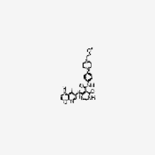 COCCN1CCN(c2ccc(NC(=O)c3c(Nc4cnc5c(c4C)NCCO5)nc[nH]c3=O)cc2)CC1